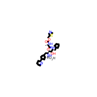 C[C@H](NC(=O)OCc1cncs1)C(=O)N[C@@H](Cc1ccccc1)[C@@H](O)C[C@H](Cc1ccc(-c2ccccn2)cc1)NC(=O)O